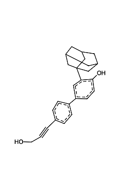 OCC#Cc1ccc(-c2ccc(O)c(C34CC5CC(CC(C5)C3)C4)c2)cc1